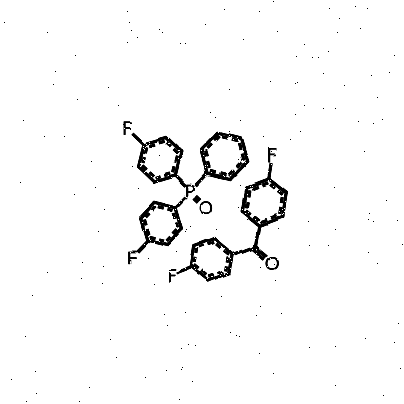 O=C(c1ccc(F)cc1)c1ccc(F)cc1.O=P(c1ccccc1)(c1ccc(F)cc1)c1ccc(F)cc1